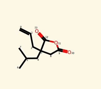 C=CCC1(CC(C)C)CC(=O)OC1=O